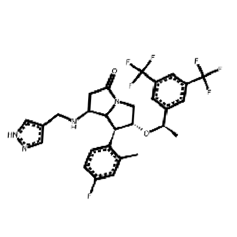 Cc1cc(F)ccc1[C@H]1C2C(NCc3cn[nH]c3)CC(=O)N2C[C@@H]1O[C@H](C)c1cc(C(F)(F)F)cc(C(F)(F)F)c1